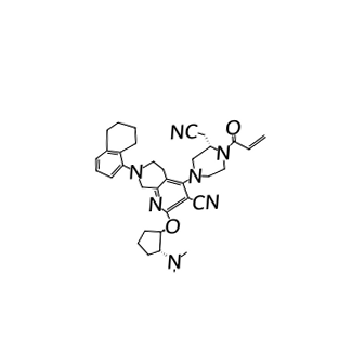 C=CC(=O)N1CCN(c2c(C#N)c(O[C@@H]3CCC[C@H]3N(C)C)nc3c2CCN(c2cccc4c2CCCC4)C3)C[C@@H]1CC#N